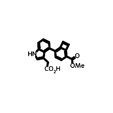 COC(=O)c1ccc(-c2cccc3[nH]cc(CC(=O)O)c23)c2c1C=C2